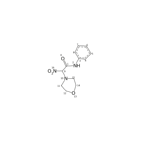 O=C(Nc1ccccc1)C(N1CCOCC1)[N+](=O)[O-]